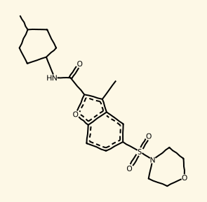 Cc1c(C(=O)NC2CCC(C)CC2)oc2ccc(S(=O)(=O)N3CCOCC3)cc12